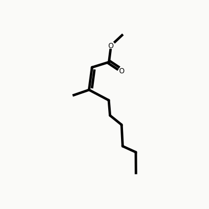 CCCCCC/C(C)=C\C(=O)OC